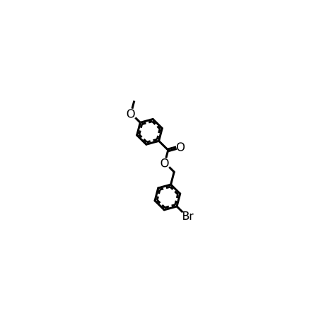 COc1ccc(C(=O)OCc2cccc(Br)c2)cc1